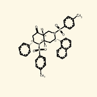 Cc1ccc(S(=O)(=O)N2C[C@H]3C(=O)C[C@@H](c4ccccc4)N(S(=O)(=O)c4ccc(C)cc4)[C@H]3C[C@H]2c2cccc3ccccc23)cc1